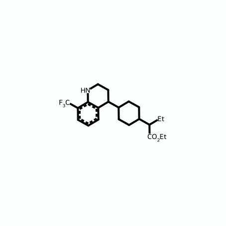 CCOC(=O)C(CC)C1CCC(C2CCNc3c2cccc3C(F)(F)F)CC1